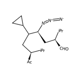 CC(=O)[C@@H](CC(C1CC1)[C@H](C[C@H](C=O)C(C)C)N=[N+]=[N-])C(C)C